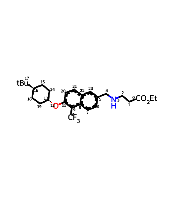 CCOC(=O)CCNCc1ccc2c(C(F)(F)F)c(O[C@H]3CC[C@H](C(C)(C)C)CC3)ccc2c1